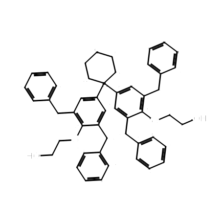 OCCOc1c(Cc2ccccc2)cc(C2(c3cc(Cc4ccccc4)c(OCCO)c(Cc4ccccc4)c3)CCCCC2)cc1Cc1ccccc1